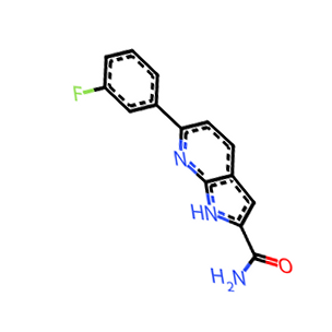 NC(=O)c1cc2ccc(-c3cccc(F)c3)nc2[nH]1